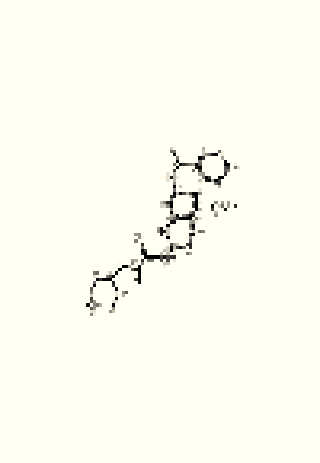 COc1cc(NC(C)c2cccnc2)cc2nc(NC(=O)NCC3CCOCC3)ncc12